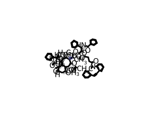 CC(=O)O[C@H]1C(=O)[C@@]2(C)[C@H]([C@H](OC(=O)c3ccccc3)[C@@](C)(O)C(C)(C)/C1=C(/C)[C@H](C)OC(=O)[C@H](OC(=O)CCC(=O)N1Cc3ccccc3C#Cc3ccccc31)[C@@H](NC(=O)c1ccccc1)c1ccccc1)[C@]1(OC(C)=O)CO[C@@H]1C[C@@H]2O